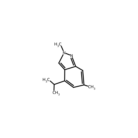 Cc1cc(C(C)C)c2cn(C)nc2c1